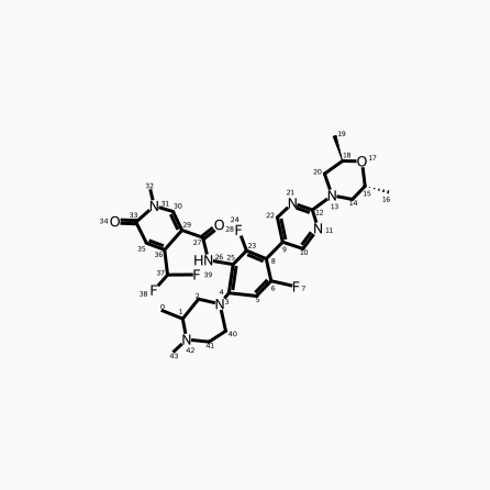 CC1CN(c2cc(F)c(-c3cnc(N4C[C@@H](C)O[C@H](C)C4)nc3)c(F)c2NC(=O)c2cn(C)c(=O)cc2C(F)F)CCN1C